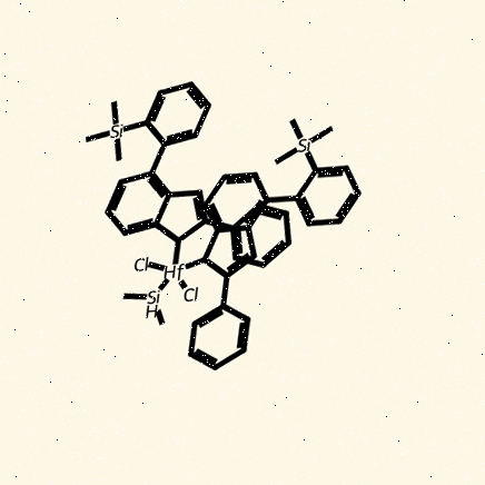 C[SiH](C)[Hf]([Cl])([Cl])([CH]1C(c2ccccc2)=Cc2c(-c3ccccc3[Si](C)(C)C)cccc21)[CH]1C(c2ccccc2)=Cc2c(-c3ccccc3[Si](C)(C)C)cccc21